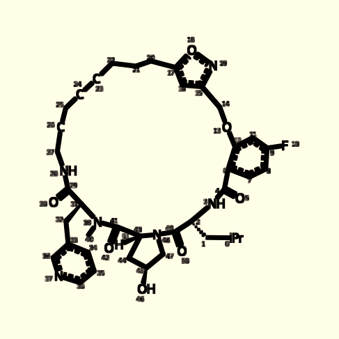 CC(C)C[C@H]1NC(=O)c2ccc(F)cc2OCc2cc(on2)CCCCCCCCNC(=O)[C@H](Cc2cccnc2)N(C)C(=O)[C@H]2C[C@H](O)CN2C1=O